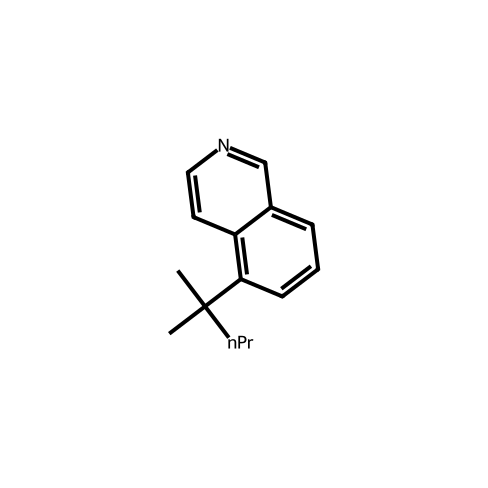 CCCC(C)(C)c1cccc2cnccc12